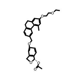 CCOCCOc1cc(C)c2c(c1)CCc1ccc(COc3ccc4c(c3)CO[C@H]4OC(C)=O)cc1-2